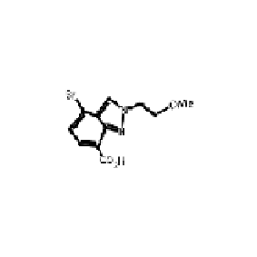 COCCn1cc2c(Br)ccc(C(=O)O)c2n1